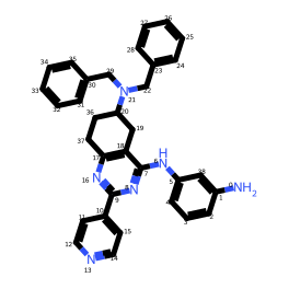 Nc1cccc(Nc2nc(-c3ccncc3)nc3c2CC(N(Cc2ccccc2)Cc2ccccc2)CC3)c1